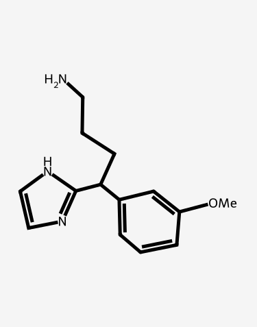 COc1cccc(C(CCCN)c2ncc[nH]2)c1